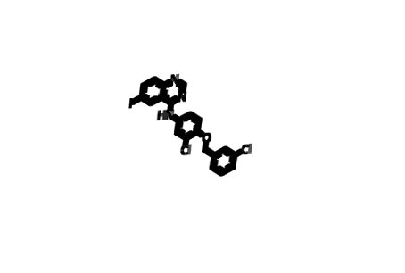 Clc1cccc(COc2ccc(Nc3ncnc4ccc(I)cc34)cc2Cl)c1